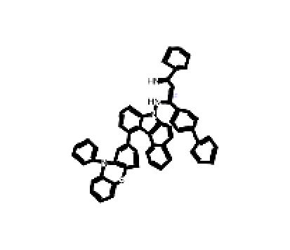 N=C(/C=C(\Nn1c2cccc(-c3ccc4c(c3)N(c3ccccc3)c3ccccc3S4)c2c2c3ccccc3ccc21)c1ccc(-c2ccccc2)cc1)c1ccccc1